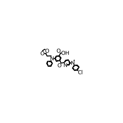 CN(c1ccc(Cl)cc1)c1ccc(C(=O)c2cc(C(=O)O)cc(N(CCC3OCCO3)c3ccccc3)c2)nc1